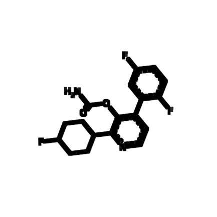 NC(=O)Oc1c(-c2cc(F)ccc2F)ccnc1C1CCC(F)CC1